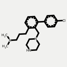 CN(C)CCCc1cccc(-c2ccc(Cl)cc2)c1CN1CCNCC1